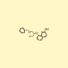 Oc1ccc2cccc(OC(CF)COCc3ccccc3)c2n1